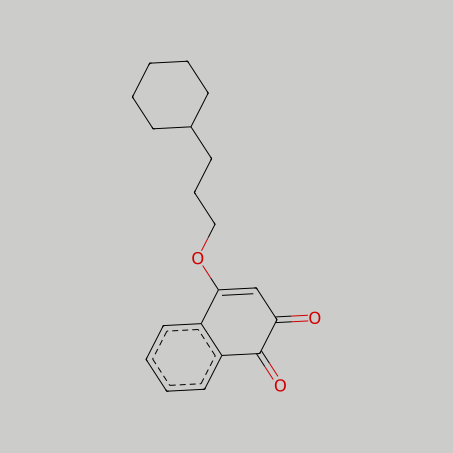 O=C1C=C(OCCCC2CCCCC2)c2ccccc2C1=O